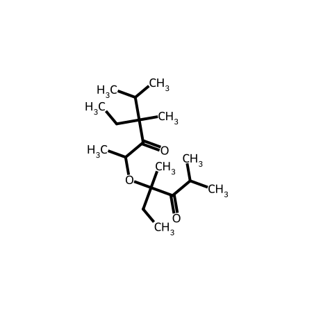 CCC(C)(OC(C)C(=O)C(C)(CC)C(C)C)C(=O)C(C)C